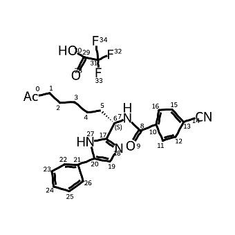 CC(=O)CCCCC[C@H](NC(=O)c1ccc(C#N)cc1)c1ncc(-c2ccccc2)[nH]1.O=C(O)C(F)(F)F